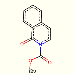 CC(C)(C)OC(=O)n1ccc2ccccc2c1=O